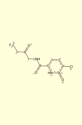 O=C(CNC(=O)c1ccc(Cl)c(=O)[nH]1)CC(F)(F)F